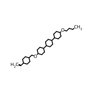 C=CC1CCC(COC2CCC(C3CCC(C4CCC(OCCCC)CC4)CC3)CC2)CC1